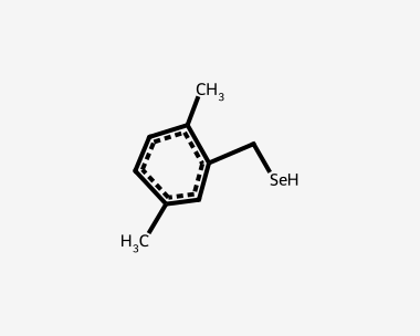 Cc1ccc(C)c(C[SeH])c1